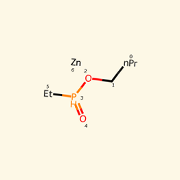 CCCCO[PH](=O)CC.[Zn]